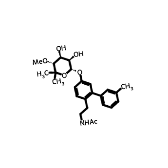 CO[C@@H]1[C@@H](O)[C@@H](O)[C@H](Oc2ccc(CCNC(C)=O)c(-c3cccc(C)c3)c2)OC1(C)C